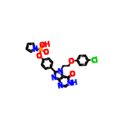 O=c1[nH]cnc2nc(-c3ccc(OP(=O)(O)n4cccc4)cc3)n(CCOc3ccc(Cl)cc3)c12